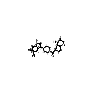 O=C1COc2ccc(C(=O)N3CCC(c4c[nH]c5cc(F)c(Cl)cc45)CC3)cc2N1